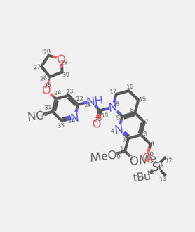 COC(OC)c1nc2c(cc1CO[Si](C)(C)C(C)(C)C)CCCN2C(=O)Nc1cc(O[C@H]2CCOC2)c(C#N)cn1